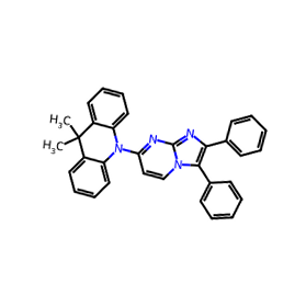 CC1(C)c2ccccc2N(c2ccn3c(-c4ccccc4)c(-c4ccccc4)nc3n2)c2ccccc21